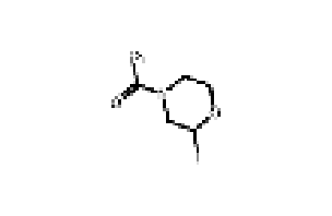 CC(C)C(=O)N1CCOC(I)C1